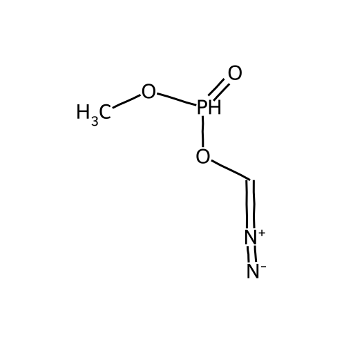 CO[PH](=O)OC=[N+]=[N-]